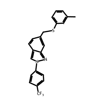 Cc1[c]c(SCc2ccc3cn(-c4ccc(C(F)(F)F)cc4)nc3c2)ccc1